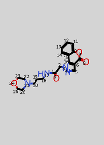 O=C(Cn1ncc2c(=O)oc3ccccc3c21)NCCCN1CCOCC1